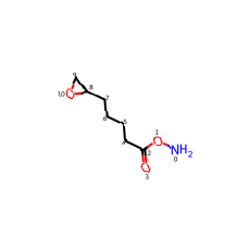 NOC(=O)CCCCC1CO1